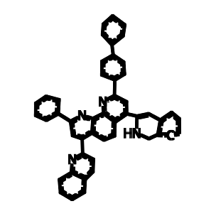 C1=C(c2cc(-c3ccc(-c4ccccc4)cc3)nc3c2ccc2c(-c4ccc5ccccc5n4)cc(-c4ccccc4)nc23)NCc2ccccc21